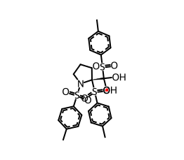 Cc1ccc(S(=O)(=O)N2CCC[C@]2(C(O)(O)S(=O)(=O)c2ccc(C)cc2)S(=O)(=O)c2ccc(C)cc2)cc1